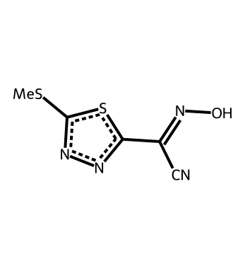 CSc1nnc(C(C#N)=NO)s1